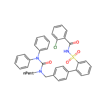 CCCCCN(Cc1ccc(-c2ccccc2S(=O)(=O)NC(=O)c2ccccc2Cl)cc1)C(=O)N(c1ccccc1)c1ccccc1